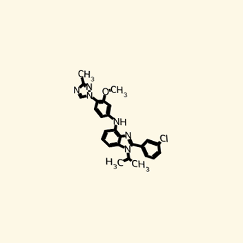 COc1cc(Nc2cccc3c2nc(-c2cccc(Cl)c2)n3C(C)C)ccc1-n1cnc(C)n1